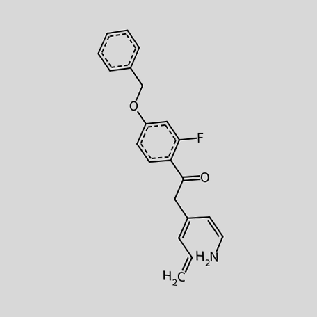 C=C/C=C(\C=C/N)CC(=O)c1ccc(OCc2ccccc2)cc1F